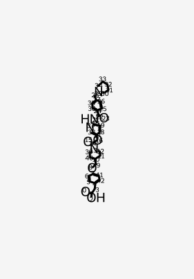 O=C(O)Cc1ccc(OCC2CCN(C(=O)Oc3ccc(NC(=O)c4ccc(CN5CCCCC5)cc4)nc3)CC2)cc1